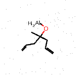 C=CCC(C)(CC=C)[O][AlH2]